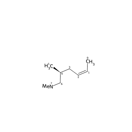 C/C=C\C[C@H](C)CNC